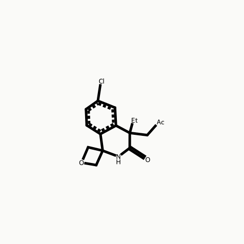 CCC1(CC(C)=O)C(=O)NC2(COC2)c2ccc(Cl)cc21